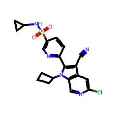 N#Cc1c(-c2ccc(S(=O)(=O)NC3CC3)cn2)n(C2CCC2)c2cnc(Cl)cc12